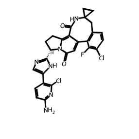 Nc1ccc(-c2cnc([C@@H]3CCc4c5c(cc(=O)n43)-c3c(ccc(Cl)c3F)CC3(CC3)NC5=O)[nH]2)c(Cl)n1